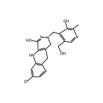 Cc1ncc(CO)c(CN2CC3=C(Nc4cc(Cl)ccc4C3)C(O)=N2)c1O